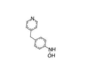 ONc1ccc(Cc2ccncc2)cc1